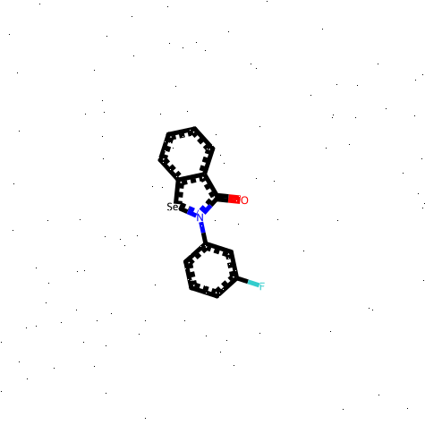 O=c1c2ccccc2[se]n1-c1cccc(F)c1